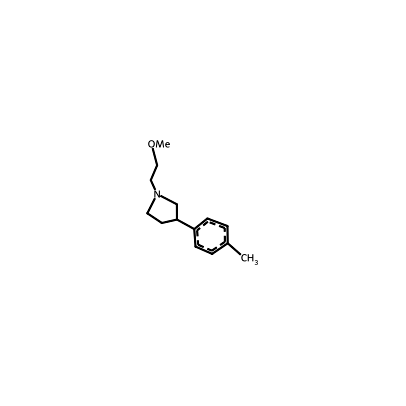 COCCN1CCC(c2ccc(C)cc2)C1